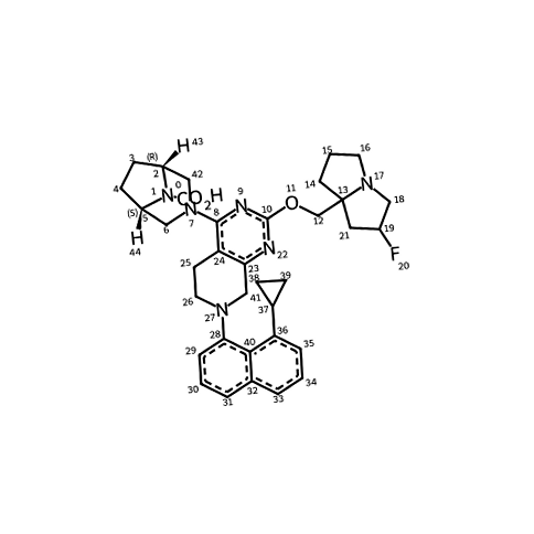 O=C(O)N1[C@@H]2CC[C@H]1CN(c1nc(OCC34CCCN3CC(F)C4)nc3c1CCN(c1cccc4cccc(C5CC5)c14)C3)C2